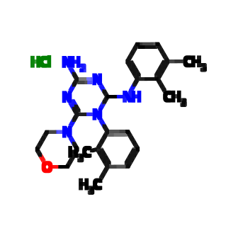 Cc1cccc(NC2N=C(N)N=C(N3CCOCC3)N2c2cccc(C)c2C)c1C.Cl